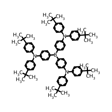 CC(C)(C)c1ccc(N(c2ccc(B(c3ccc(N(c4ccc(C(C)(C)C)cc4)c4ccc(C(C)(C)C)cc4)cc3)c3ccc(N(c4ccc(C(C)(C)C)cc4)c4ccc(C(C)(C)C)cc4)cc3)cc2)c2ccc(C(C)(C)C)cc2)cc1